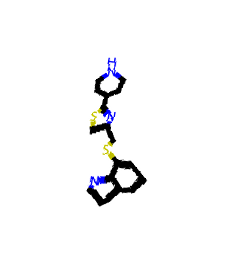 c1cnc2c(SCc3csc(C4CCNCC4)n3)cccc2c1